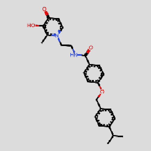 Cc1c(O)c(=O)ccn1CCNC(=O)c1ccc(OCc2ccc(C(C)C)cc2)cc1